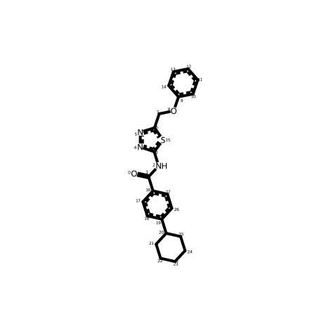 O=C(Nc1nnc(COc2ccccc2)s1)c1ccc(C2CC[CH]CC2)cc1